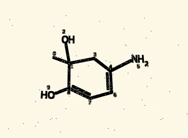 CC1(O)CC(N)=CC=C1O